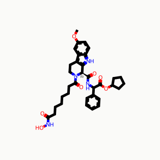 COc1ccc2[nH]c3c(c2c1)CCN(C(=O)CCCCCCC(=O)NO)[C@@H]3C(=O)NC(C(=O)OC1CCCC1)c1ccccc1